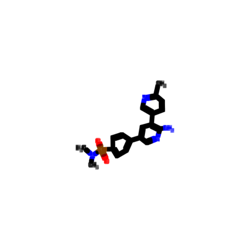 Cc1ccc(-c2cc(-c3ccc(S(=O)(=O)N(C)C)cc3)cnc2N)cn1